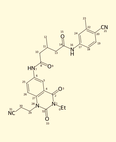 CCn1c(=O)c2cc(NC(=O)CC(C)CC(=O)Nc3ccc(C#N)c(C)c3)ccc2n(CCC#N)c1=O